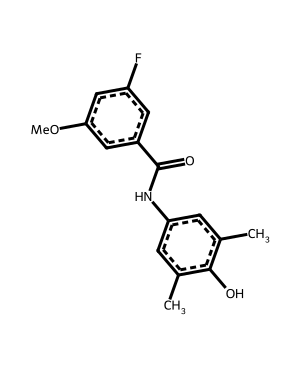 COc1cc(F)cc(C(=O)Nc2cc(C)c(O)c(C)c2)c1